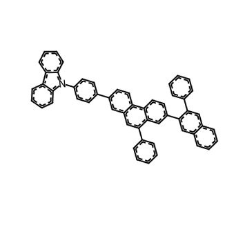 c1ccc(-c2cc3ccccc3cc2-c2ccc3c(c2)c(-c2ccccc2)cc2cc(-c4ccc(-n5c6ccccc6c6ccccc65)cc4)ccc23)cc1